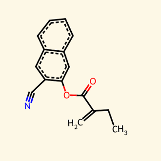 C=C(CC)C(=O)Oc1cc2ccccc2cc1C#N